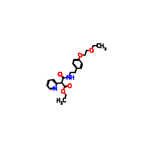 CCOCCOc1ccc(CCNC(=O)C(C(=O)OCC)c2ccccn2)cc1